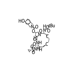 CC(C)(C)OC(=O)N[C@H]1CCCCC/C=C/[C@@H]2C[C@@]2(C(=O)NS(=O)(=O)C2CC2)NC(=O)[C@@H]2C[C@@H](OC(=O)N3Cc4ccc(O)cc4C3)CN2C1=O